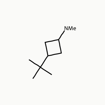 CNC1CC(C(C)(C)C)C1